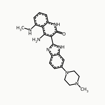 CNc1cccc2[nH]c(=O)c(-c3nc4ccc(N5CCN(C)CC5)cc4[nH]3)c(N)c12